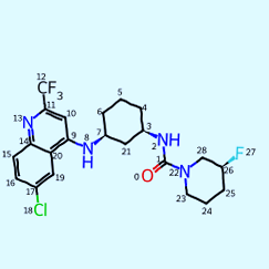 O=C(N[C@@H]1CCC[C@H](Nc2cc(C(F)(F)F)nc3ccc(Cl)cc23)C1)N1CCC[C@H](F)C1